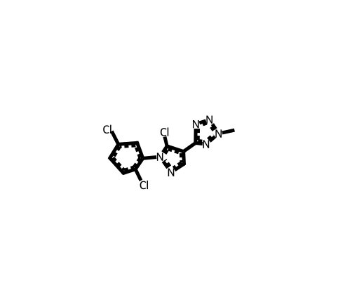 Cn1nnc(-c2cnn(-c3cc(Cl)ccc3Cl)c2Cl)n1